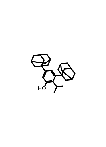 CC(C)c1c(O)cc(C23CC4CC(CC(C4)C2)C3)cc1C12CC3CC(CC(C3)C1)C2